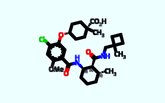 COc1cc(Cl)c(O[C@H]2CC[C@@](C)(C(=O)O)CC2)cc1C(=O)N[C@@H]1CCC[C@@H](C)[C@@H]1C(=O)NCC1(C)CCC1